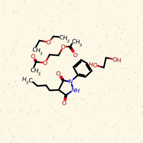 CC(=O)OCCOC(C)=O.CCCCC1C(=O)NN(c2ccccc2)C1=O.CCOCC.OCCO